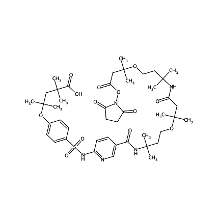 CC(C)(CCOC(C)(C)CC(=O)ON1C(=O)CCC1=O)NC(=O)CC(C)(C)OCCC(C)(C)NC(=O)c1ccc(NS(=O)(=O)c2ccc(OC(C)(C)CC(C)(C)C(=O)O)cc2)nc1